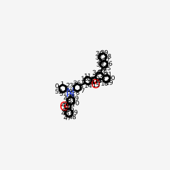 c1ccc(N(c2ccc(-c3ccc4c(c3)oc3c5ccccc5c(-c5ccc6ccccc6c5)cc43)cc2)c2ccc3c(c2)oc2ccccc23)cc1